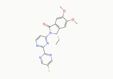 CC[C@H]1c2cc(OC)c(OC)cc2C(=O)N1c1ccnc(-c2ncc(F)cn2)n1